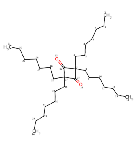 CCCCCCCC1(CCCCCCC)C(=O)C(CCCCCCC)(CCCCCCC)C1=O